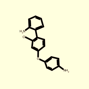 Nc1ccc(Oc2ccc(-c3ccccc3N)c(Cl)c2)cc1